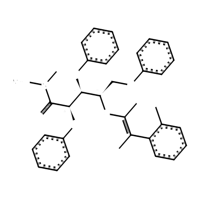 CON(C)C(=O)[C@H](Oc1ccccc1)[C@@H](Oc1ccccc1)[C@@H](COc1ccccc1)OC(C)=C(C)c1ccccc1C